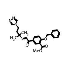 COC(=O)c1cc(C(=O)C=NC(C)(C)CCn2cnnc2)ccc1OCc1ccccc1